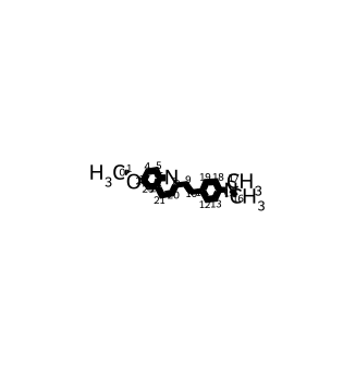 CCOc1ccc2nc(/C=C/c3ccc(N(C)C)cc3)ccc2c1